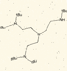 CC(C)(C)NCCN(CCN(C(C)(C)C)C(C)(C)C)CCN(C(C)(C)C)C(C)(C)C